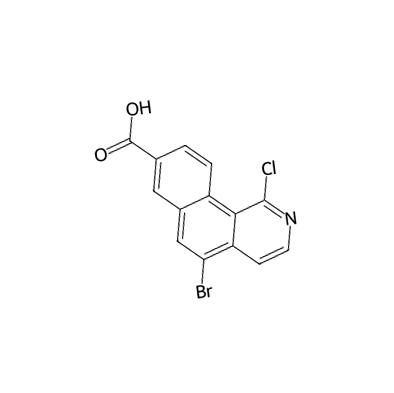 O=C(O)c1ccc2c(c1)cc(Br)c1ccnc(Cl)c12